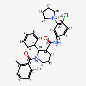 Cc1cccc(F)c1C(=O)N1CCCC(C(=O)Nc2ccc(Cl)c(N3CCCC3)c2)[C@@H]1C1C=CC=CC1